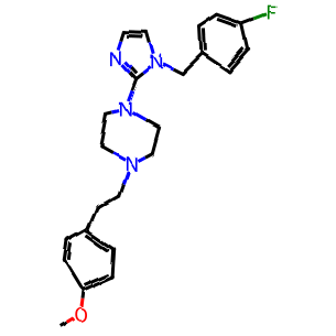 COc1ccc(CCN2CCN(c3nccn3Cc3ccc(F)cc3)CC2)cc1